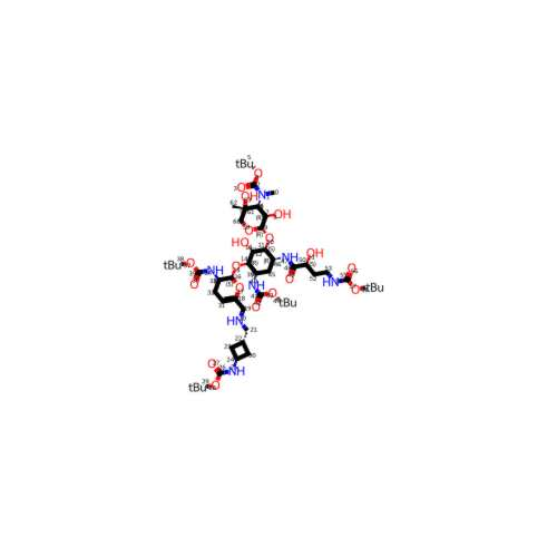 CN(C(=O)OC(C)(C)C)[C@@H]1[C@@H](O)[C@@H](O[C@@H]2[C@@H](O)[C@H](O[C@H]3OC(CNC[C@H]4C[C@H](NC(=O)OC(C)(C)C)C4)=CC[C@H]3NC(=O)OC(C)(C)C)[C@@H](NC(=O)OC(C)(C)C)C[C@H]2NC(=O)[C@@H](O)CCNC(=O)OC(C)(C)C)OC[C@]1(C)O